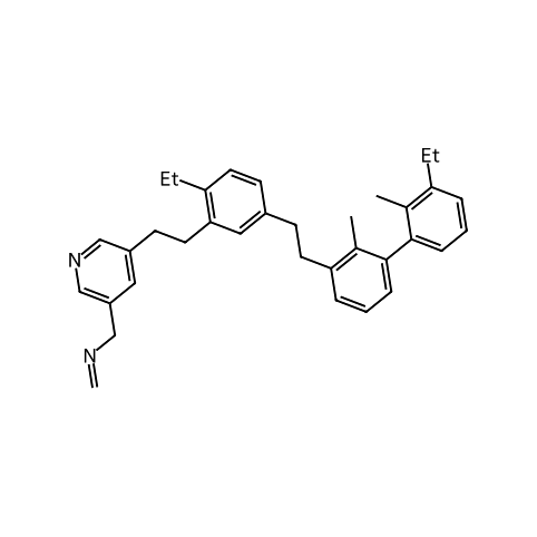 C=NCc1cncc(CCc2cc(CCc3cccc(-c4cccc(CC)c4C)c3C)ccc2CC)c1